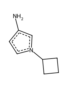 Nc1ccn(C2CCC2)c1